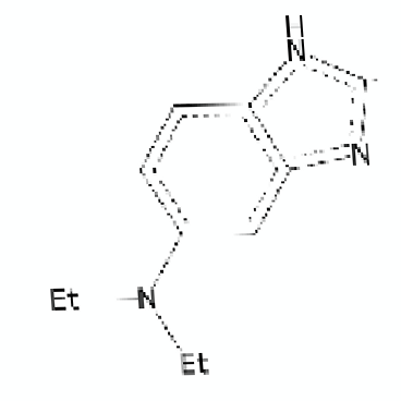 CCN(CC)c1ccc2[nH][c]nc2c1